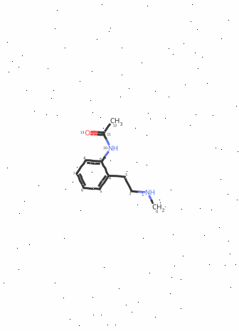 [CH2]NCCc1ccccc1NC(C)=O